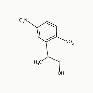 CC(CO)c1cc([N+](=O)[O-])ccc1[N+](=O)[O-]